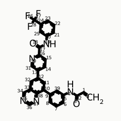 C=CC(=O)Nc1cccc(-c2cc(-c3ccc(C(=O)Nc4cccc(C(F)(F)F)c4)nc3)cc3cncnc23)c1